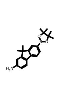 CC1(C)c2cc(N)ccc2-c2ccc(B3OC(C)(C)C(C)(C)O3)cc21